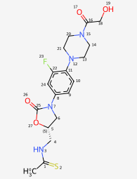 CC(=S)NC[C@H]1CN(c2ccc(N3CCN(C(=O)CO)CC3)c(F)c2)C(=O)O1